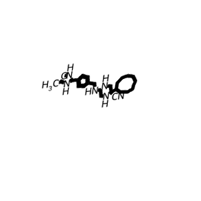 CC1NC(c2ccc(CNC3CNC(C#N)(C4CCCCCCCC4)CN3)cc2)NO1